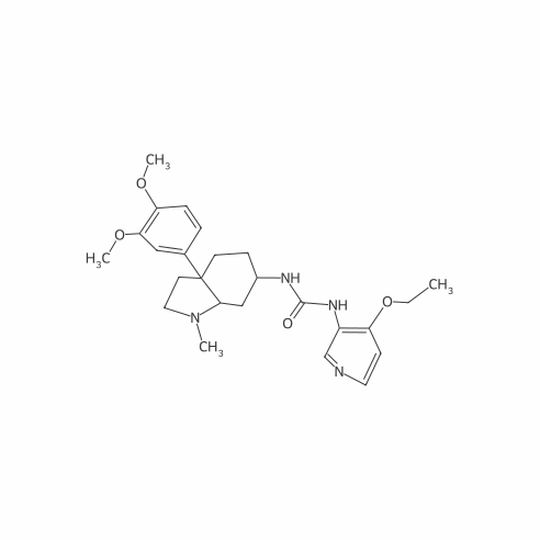 CCOc1ccncc1NC(=O)NC1CCC2(c3ccc(OC)c(OC)c3)CCN(C)C2C1